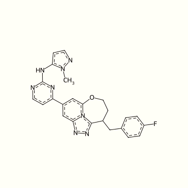 Cn1nccc1Nc1nccc(-c2cc3n4c(nnc4c2)C(Cc2ccc(F)cc2)CCO3)n1